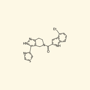 CCc1cccc2[nH]c(C(=O)N3CCc4n[nH]c(-c5cscn5)c4C3)cc12